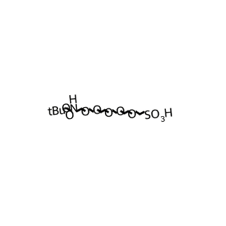 CC(C)(C)OC(=O)NCCOCCOCCOCCOCCOCCCS(=O)(=O)O